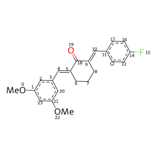 COc1cc(C=C2CCCC(=Cc3ccc(F)cc3)C2=O)cc(OC)c1